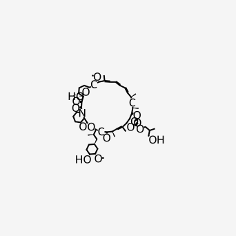 CO[C@H]1CC2CC[C@@H](C)[C@@](O)(O2)C(=O)C(=O)N2CCCCC2C(=O)O[C@H]([C@H](C)C[C@@H]2CC[C@@H](O)[C@H](OC)C2)CC(=O)[C@H](C)/C=C(\C)[C@@H](OC(=O)OCC(C)CO)[C@@H](OC)C(=O)[C@H](C)C[C@H](C)/C=C/C=C/C=C/1C